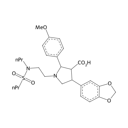 CCCN(CCN1CC(c2ccc3c(c2)OCO3)C(C(=O)O)C1c1ccc(OC)cc1)S(=O)(=O)CCC